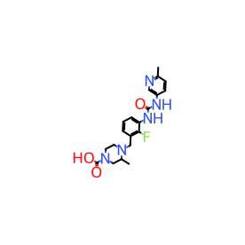 Cc1ccc(NC(=O)Nc2cccc(CN3CCN(C(=O)O)CC3C)c2F)cn1